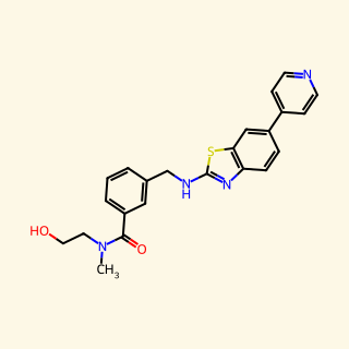 CN(CCO)C(=O)c1cccc(CNc2nc3ccc(-c4ccncc4)cc3s2)c1